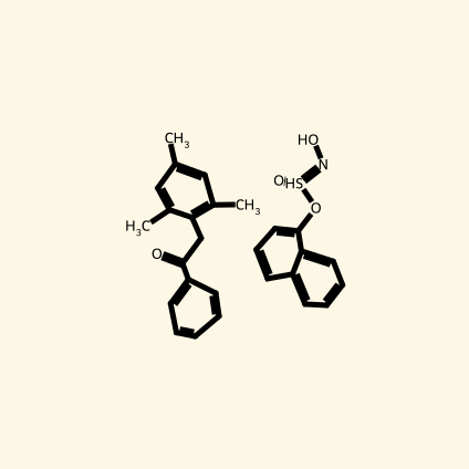 Cc1cc(C)c(CC(=O)c2ccccc2)c(C)c1.O=[SH](=NO)Oc1cccc2ccccc12